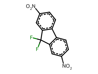 O=[N+]([O-])c1ccc2c(c1)C(F)(F)c1cc([N+](=O)[O-])ccc1-2